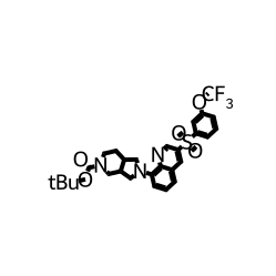 CC(C)(C)OC(=O)N1CCC2CN(c3cccc4cc(S(=O)(=O)c5cccc(OC(F)(F)F)c5)cnc34)CC2C1